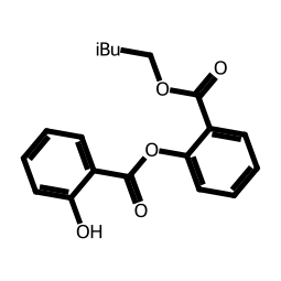 CCC(C)COC(=O)c1ccccc1OC(=O)c1ccccc1O